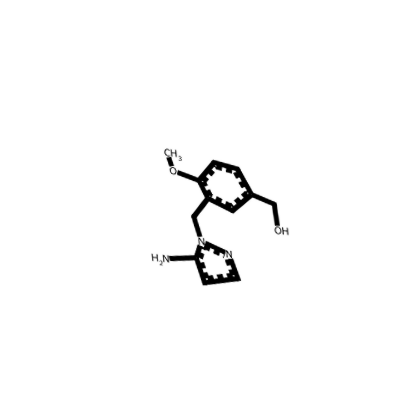 COc1ccc(CO)cc1Cn1nccc1N